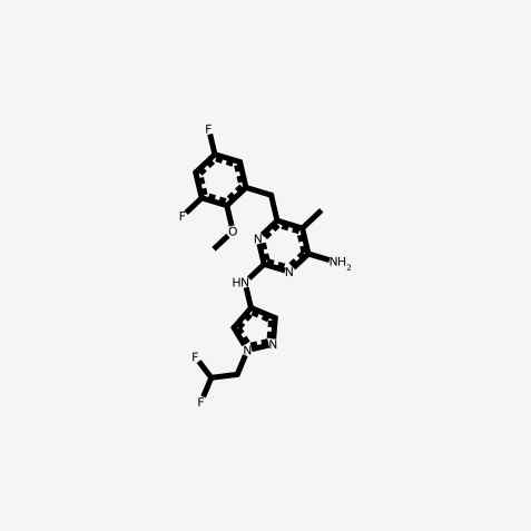 COc1c(F)cc(F)cc1Cc1nc(Nc2cnn(CC(F)F)c2)nc(N)c1C